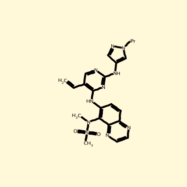 C=Cc1cnc(Nc2cnn(C(C)C)c2)nc1Nc1ccc2nccnc2c1N(C)S(C)(=O)=O